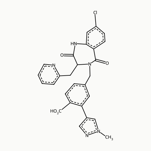 Cn1cc(-c2cc(CN3C(=O)c4ccc(Cl)cc4NC(=O)C3Cc3ccccn3)ccc2C(=O)O)cn1